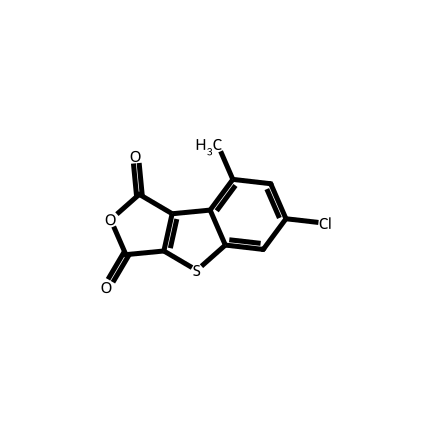 Cc1cc(Cl)cc2sc3c(c12)C(=O)OC3=O